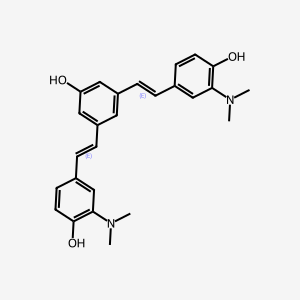 CN(C)c1cc(/C=C/c2cc(O)cc(/C=C/c3ccc(O)c(N(C)C)c3)c2)ccc1O